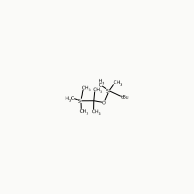 CC(C)(O[Si](C)(C)C(C)(C)C)[Si](C)(C)C